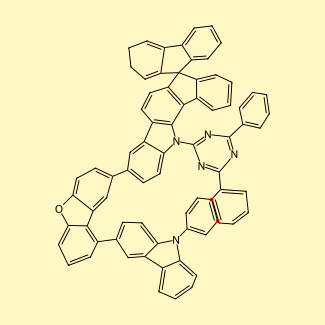 C1=C2C(=CCC1)C1(c3ccccc32)c2ccccc2-c2c1ccc1c3cc(-c4ccc5oc6cccc(-c7ccc8c(c7)c7ccccc7n8-c7ccccc7)c6c5c4)ccc3n(-c3nc(-c4ccccc4)nc(-c4ccccc4)n3)c21